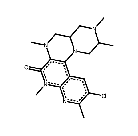 Cc1nc2c(cc1Cl)c1c(c(=O)n2C)N(C)CC2CN(C)C(C)CN12